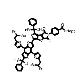 CCCCCCCC(=O)c1ccc(N2C(=O)c3sc4c(-c5cc6c(-c7ccc(CC(CC)CCCC)s7)c7sc(C(C)(CC)c8ccccc8)cc7c(-c7ccc(CC(CC)CCCC)s7)c6s5)sc(C(C)(CCC)c5ccccc5)c4c3C2=O)cc1